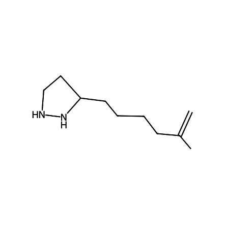 C=C(C)CCCCC1CCNN1